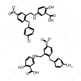 Cc1ccc(Sc2ccc([N+](=O)[O-])cc2CNc2ccc(O)c(C(=O)O)c2)cc1.O=C(O)c1cc(NCc2cc([N+](=O)[O-])ccc2Sc2ccc(Cl)cc2)ccc1O